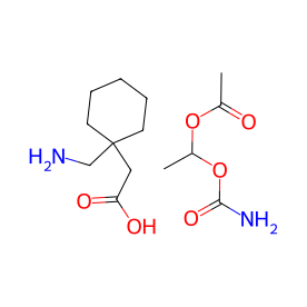 CC(=O)OC(C)OC(N)=O.NCC1(CC(=O)O)CCCCC1